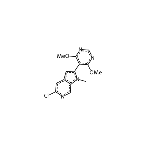 COc1ncnc(OC)c1-c1cc2cc(Cl)ncc2n1C